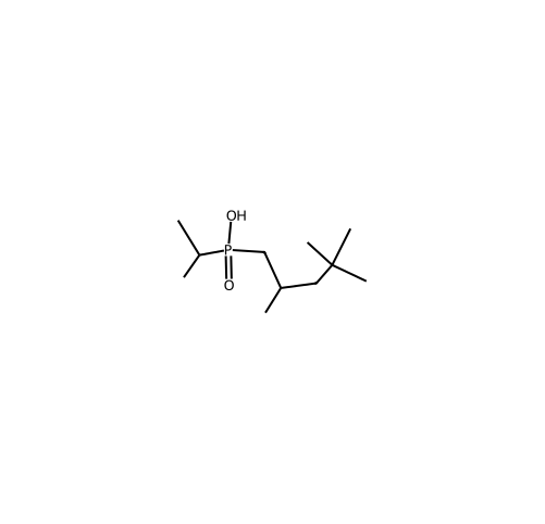 CC(CC(C)(C)C)CP(=O)(O)C(C)C